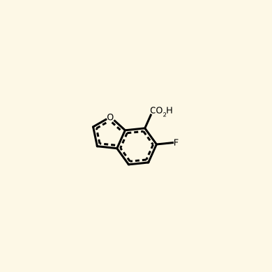 O=C(O)c1c(F)ccc2ccoc12